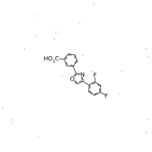 O=C(O)c1cccc(-c2nc(-c3ccc(F)cc3F)co2)c1